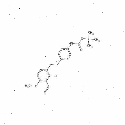 COc1ccc(CCc2ccc(NC(=O)OC(C)(C)C)cc2)c(F)c1C=O